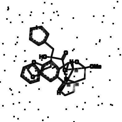 COC12C[C@]34CCCN3CC(O1)c1cc3c(cc1[C@@H]4[C@@H]2OC(=O)C(O)(Cc1ccccc1)Cc1ccccc1)OCO3